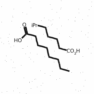 CC(C)CCCCC(=O)O.CCCCCCCC(=O)O